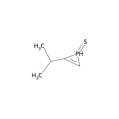 CC(C)C1=C[PH]1=S